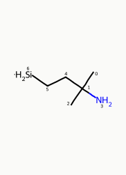 CC(C)(N)CC[SiH2]